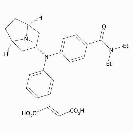 CCN(CC)C(=O)c1ccc(N(c2ccccc2)[C@@H]2C[C@H]3CC[C@@H](C2)N3C)cc1.O=C(O)/C=C/C(=O)O